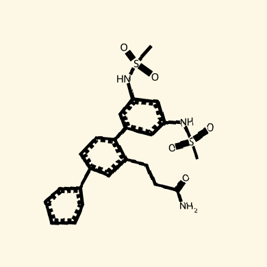 CS(=O)(=O)Nc1cc(NS(C)(=O)=O)cc(-c2ccc(-c3ccccc3)cc2CCC(N)=O)c1